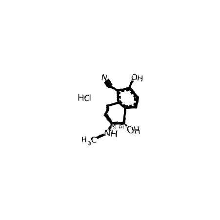 CN[C@H]1CCc2c(ccc(O)c2C#N)[C@@H]1O.Cl